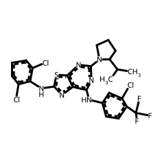 CC(C)C1CCCN1c1nc(Nc2ccc(C(F)(F)F)c(Cl)c2)c2nc(Nc3c(Cl)cccc3Cl)sc2n1